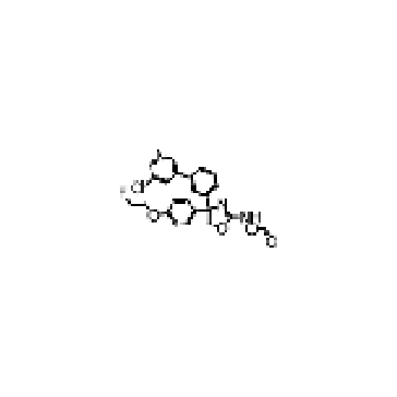 O=CONC1=NC(c2ccc(OCCF)cc2)(c2cccc(-c3cncc(Cl)c3)c2)CO1